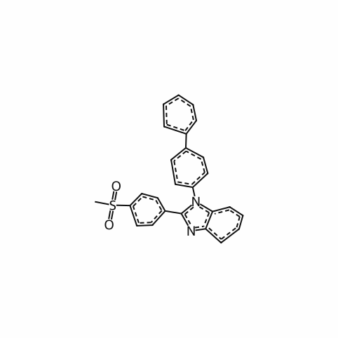 CS(=O)(=O)c1ccc(-c2nc3ccccc3n2-c2ccc(-c3ccccc3)cc2)cc1